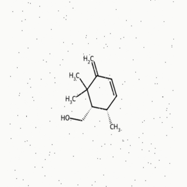 C=C1C=C[C@H](C)[C@H](CO)C1(C)C